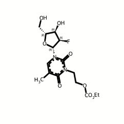 CCOC(=O)OCCn1c(=O)c(C)cn([C@@H]2O[C@H](CO)[C@@H](O)[C@H]2F)c1=O